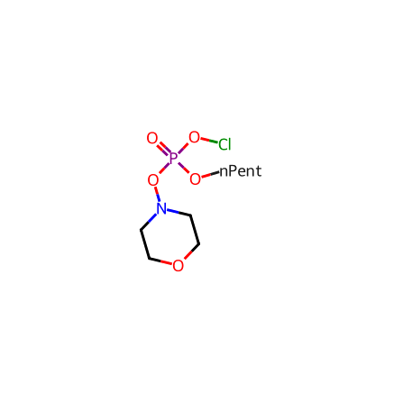 CCCCCOP(=O)(OCl)ON1CCOCC1